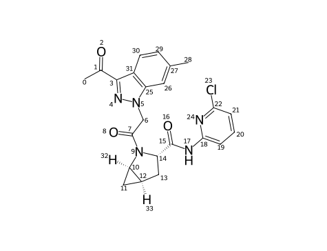 CC(=O)c1nn(CC(=O)N2[C@@H]3C[C@@H]3C[C@H]2C(=O)Nc2cccc(Cl)n2)c2cc(C)ccc12